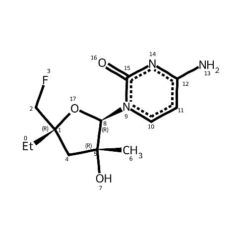 CC[C@]1(CF)C[C@@](C)(O)[C@H](n2ccc(N)nc2=O)O1